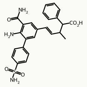 CC(C=Cc1cc(C(N)=O)c(N)c(-c2ccc(S(N)(=O)=O)cc2)c1)C(C(=O)O)c1ccccc1